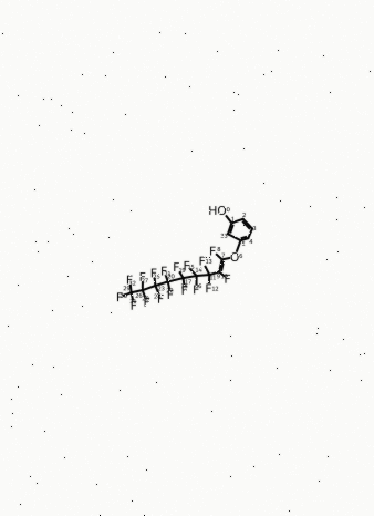 Oc1cccc(OC(F)=C(F)C(F)(F)C(F)(F)C(F)(F)C(F)(F)C(F)(F)C(F)(F)C(F)(F)F)c1